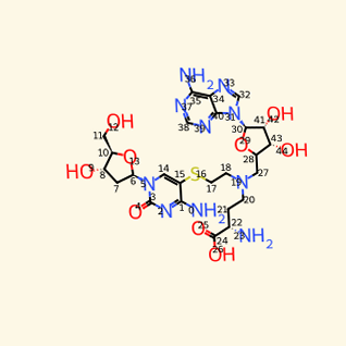 Nc1nc(=O)n([C@H]2C[C@H](O)[C@@H](CO)O2)cc1SCCN(CC[C@H](N)C(=O)O)CC1O[C@@H](n2cnc3c(N)ncnc32)[C@H](O)[C@@H]1O